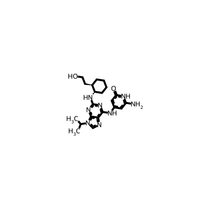 CC(C)n1cnc2c(Nc3cc(N)[nH]c(=O)c3)nc(N[C@H]3CCCC[C@@H]3CCO)nc21